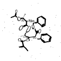 CC(=O)O[C@H](C)[C@H](N)C(=O)O[C@@H](C)[C@H](OC(=O)C(C)C)[C@@H](Cc1ccccc1)C(=O)OCc1ccccc1